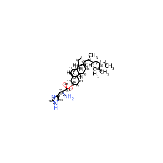 CC[C@@H](CC[C@@H](C)[C@H]1CC[C@H]2[C@@H]3CC=C4C[C@@H](OC(=O)C(N)Cc5c[nH]cn5)CC[C@]4(C)[C@H]3CC[C@]12C)C(C)C